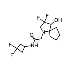 O=C(CN1CC(F)(F)C(O)C12CCCC2)NC1CC(F)(F)C1